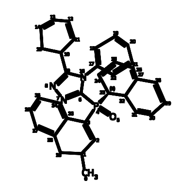 CC1C=C(P(=O)(c2nnc(C3C=CC=CC3)n2-c2ccccc2)[C@H]2C=CC=C3C=CC=CC32)c2ccccc2C1